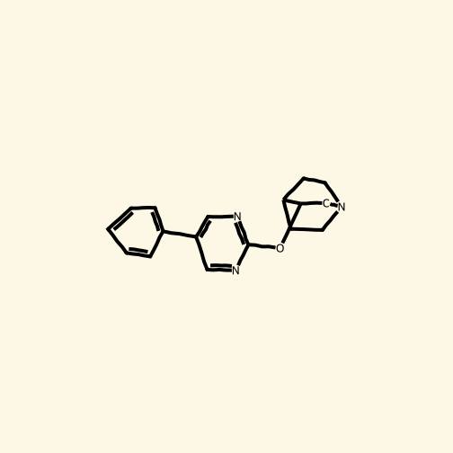 c1ccc(-c2cnc(OC3CN4CCC3CC4)nc2)cc1